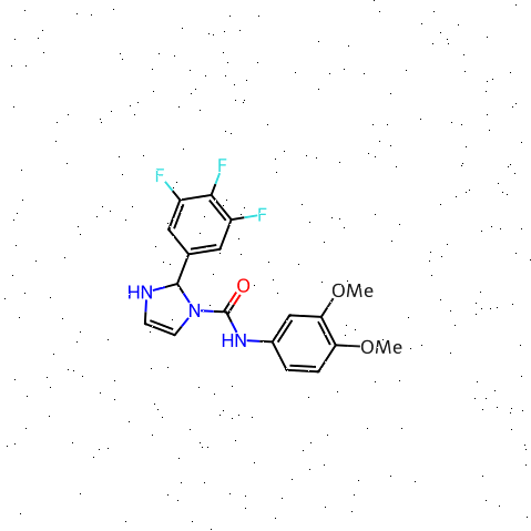 COc1ccc(NC(=O)N2C=CNC2c2cc(F)c(F)c(F)c2)cc1OC